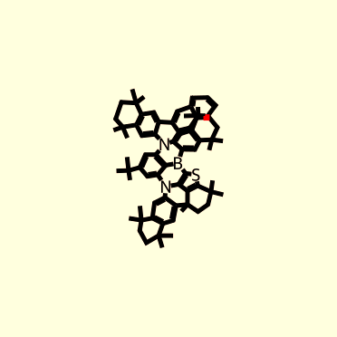 CC(C)(C)c1cc2c3c(c1)N1c4cc5c(cc4C4(C)CCC(C)(C)c6sc(c1c64)B3c1cc3c(cc1N2c1cc2c(cc1-c1ccc4ccccc4c1)C(C)(C)CCC2(C)C)C(C)(C)CCC3(C)C)C(C)(C)CCC5(C)C